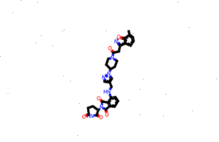 Cc1cccc2c(CC(=O)N3CCC(n4cc(CNc5cccc6c5C(=O)N(C5CCC(=O)NC5=O)C6=O)cn4)CC3)noc12